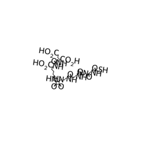 O=C(O)CCC(NC(=O)NC(CCCCNc1c(NCCNC(=O)CCNC(=O)CNC(=O)CNC(=O)CS)c(=O)c1=O)C(=O)O)C(=O)O